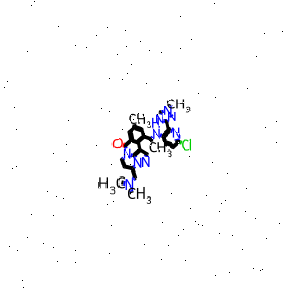 Cc1cc(C(C)Nc2ccc(Cl)nc2-c2ncn(C)n2)c2c(c1)c(=O)n1c3c2cnn3C(CN(C)C)CC1